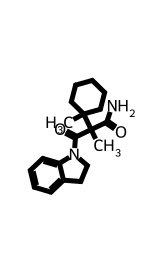 CC1(C(C)(C(N)=O)C(=O)N2CCc3ccccc32)CCCCC1